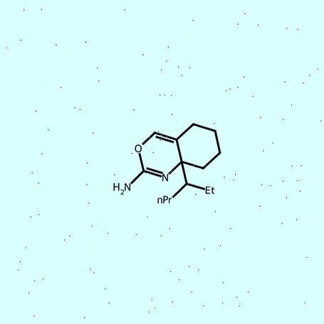 CCCC(CC)C12CCCCC1=COC(N)=N2